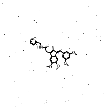 COc1cc(/C=C2/C(C)=C(CC(=O)NCc3ccco3)c3cc(OC)c(OC)cc32)cc(OC)c1